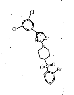 O=S(=O)(c1ccccc1Br)C1CCN(c2nc(-c3cc(Cl)cc(Cl)c3)cs2)CC1